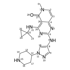 Cn1ccc2nc(Nc3cnn(C4CCNCC4)c3)nc(NC3(C)CC3)c2c1=O